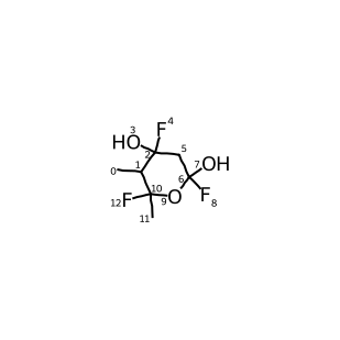 CC1C(O)(F)CC(O)(F)OC1(C)F